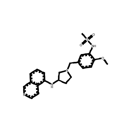 COc1ccc(CN2CCC(Nc3cccc4cnccc34)C2)cc1NS(C)(=O)=O